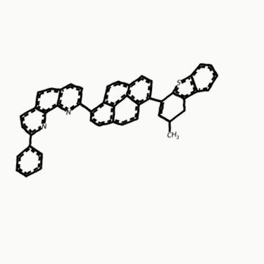 CC1C=C(c2ccc3ccc4c(-c5ccc6ccc7ccc(-c8ccccc8)nc7c6n5)ccc5ccc2c3c54)c2sc3ccccc3c2C1